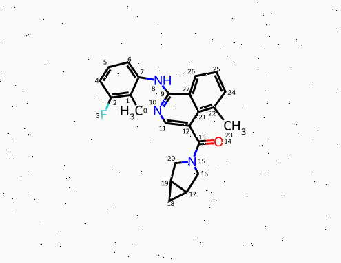 Cc1c(F)cccc1Nc1ncc(C(=O)N2CC3CC3C2)c2c(C)cccc12